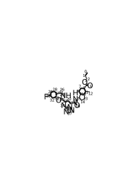 C=CCOC(=O)c1ccc2c(c1C)CC[C@@H]2NC(=O)c1cc(C(=O)N[C@@H](C)c2ccc(F)cc2)nc2ncnn12